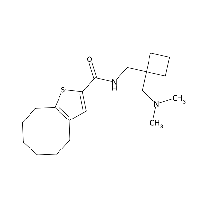 CN(C)CC1(CNC(=O)c2cc3c(s2)CCCCCC3)CCC1